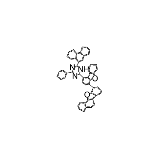 c1ccc(C2=NC(c3ccc(-c4cccc5c4oc4c6ccccc6ccc54)c4oc5ccccc5c34)NC(c3cc4ccccc4c4ccccc34)=N2)cc1